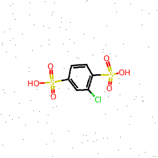 O=S(=O)(O)c1ccc(S(=O)(=O)O)c(Cl)c1